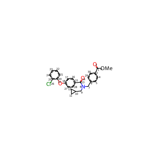 COC(=O)c1ccc(CN(CC2CC2)C(=O)c2ccc(Oc3ccccc3Cl)cc2)cc1